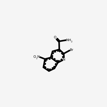 NC(=O)c1cc2c([N+](=O)[O-])cccc2nc1Br